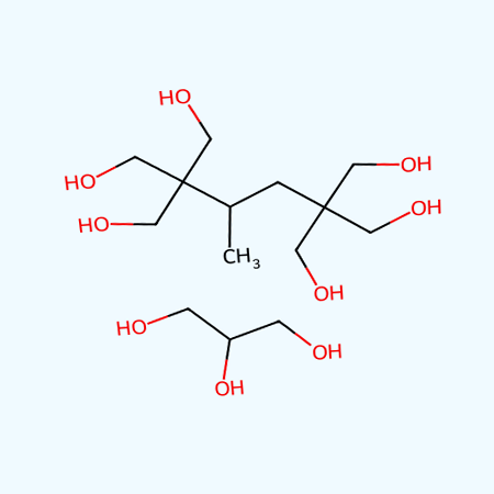 CC(CC(CO)(CO)CO)C(CO)(CO)CO.OCC(O)CO